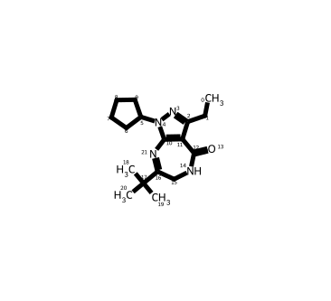 CCc1nn(C2CCCC2)c2c1C(=O)NCC(C(C)(C)C)=N2